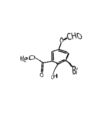 COC(=O)c1cc(OC=O)cc(Br)c1O